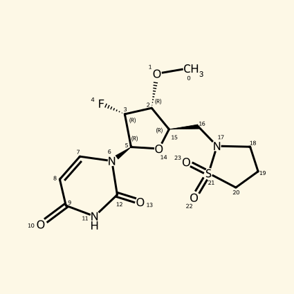 CO[C@H]1[C@@H](F)[C@H](n2ccc(=O)[nH]c2=O)O[C@@H]1CN1CCCS1(=O)=O